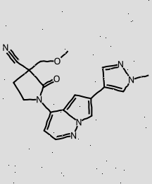 COCC1(C#N)CCN(c2ccnn3cc(-c4cnn(C)c4)cc23)C1=O